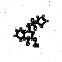 CCOC1=CC(=NS(=O)(=O)c2cccs2)c2ccccc2C1=O